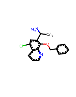 CC(N)c1cc(Cl)c2cccnc2c1OCc1ccccc1